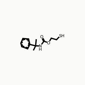 CC(C)(NC(=O)OCCS)c1ccccc1